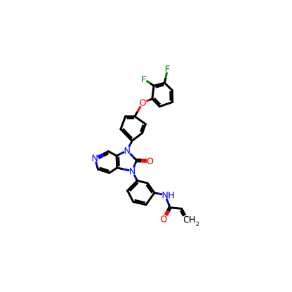 C=CC(=O)Nc1cccc(-n2c(=O)n(-c3ccc(Oc4cccc(F)c4F)cc3)c3cnccc32)c1